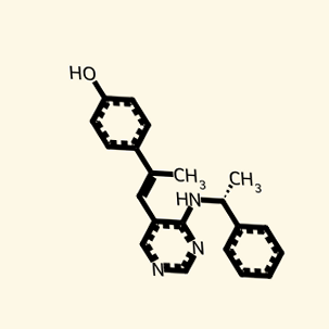 C/C(=C\c1cncnc1N[C@H](C)c1ccccc1)c1ccc(O)cc1